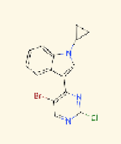 Clc1ncc(Br)c(-c2cn(C3CC3)c3ccccc23)n1